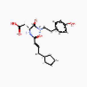 O=C(O)C[C@@H](NC(=O)/C=C/CC1CCCC1)C(=O)NCCc1ccc(O)cc1